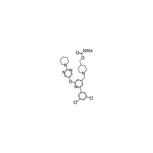 CNC(=O)OCC1CCN(Cc2cc(Oc3cnc(N4CCCCC4)nc3)nc(-c3cc(Cl)cc(Cl)c3)c2)CC1